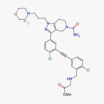 COC(=O)CNCc1cc(C#Cc2cc(-c3nn(CCCN4CCOC[C@H]4C)c4c3CN(C(N)=O)CC4)ccc2Cl)ccc1Cl